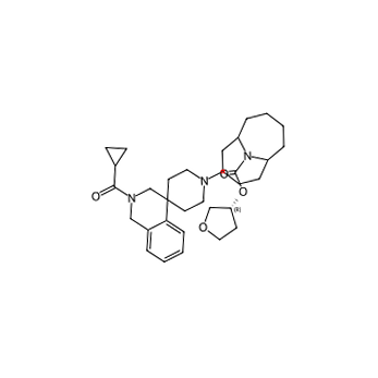 O=C(C1CC1)N1Cc2ccccc2C2(CCN(C3CCC4CCCCC(C3)N4C(=O)O[C@@H]3CCOC3)CC2)C1